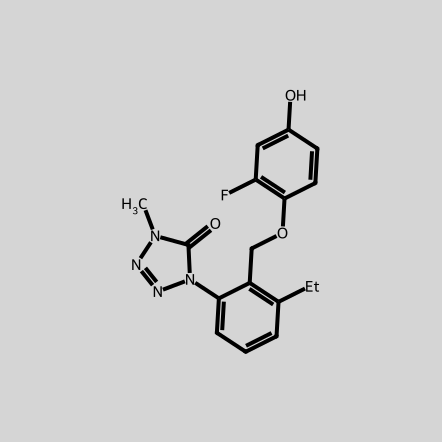 CCc1cccc(-n2nnn(C)c2=O)c1COc1ccc(O)cc1F